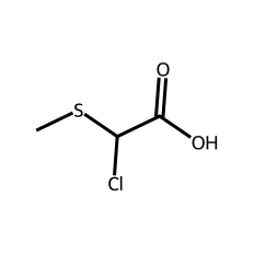 CSC(Cl)C(=O)O